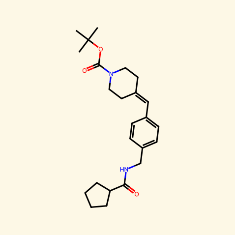 CC(C)(C)OC(=O)N1CCC(=Cc2ccc(CNC(=O)C3CCCC3)cc2)CC1